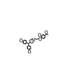 COc1ccc(C(c2ccc(OC)cc2)C2CCN(CCCOc3ccc(C(C)=O)cc3OC)CC2)cc1